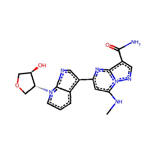 CNc1cc(-c2cnc3n([C@@H]4COC[C@H]4O)cccc2-3)nc2c(C(N)=O)cnn12